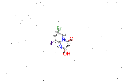 O=c1cc(O)nc2c(I)cc(Br)cn12